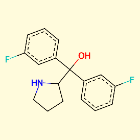 OC(c1cccc(F)c1)(c1cccc(F)c1)C1CCCN1